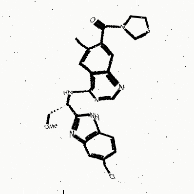 COC[C@H](Nc1ncnc2cc(C(=O)N3CCSC3)c(C)cc12)c1nc2cc(Cl)ccc2[nH]1